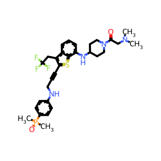 CN(C)CC(=O)N1CCC(Nc2cccc3c(CC(F)(F)F)c(C#CCNc4ccc(P(C)(C)=O)cc4)sc23)CC1